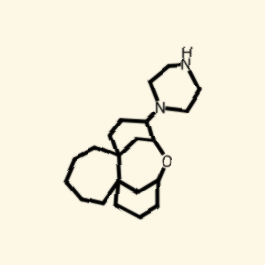 C1CCC23CCCC(C2)OC2CC3(CC1)CCC2N1CCNCC1